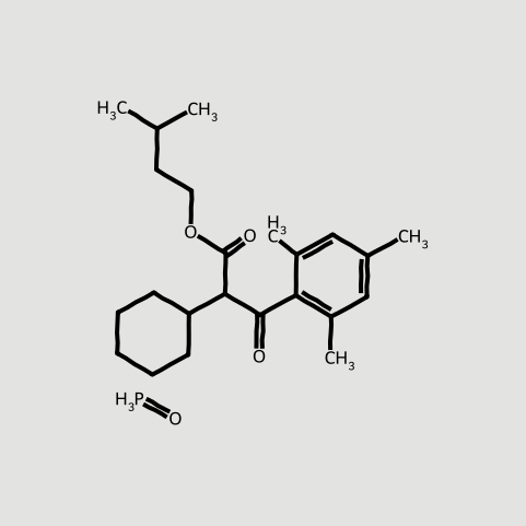 Cc1cc(C)c(C(=O)C(C(=O)OCCC(C)C)C2CCCCC2)c(C)c1.O=[PH3]